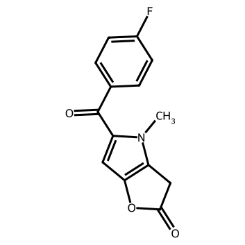 Cn1c(C(=O)c2ccc(F)cc2)cc2c1CC(=O)O2